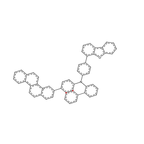 c1ccc(-c2ccccc2N(c2ccc(-c3ccc4ccc5c6ccccc6ccc5c4c3)cc2)c2ccc(-c3cccc4c3oc3ccccc34)cc2)cc1